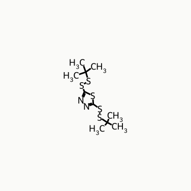 CC(C)(C)SSc1nnc(SSC(C)(C)C)s1